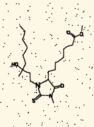 CCCCCCC(C)(O)CCN1C(=S)N(C)C(=O)C1CCCCCCC(=O)OC